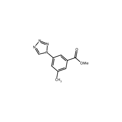 COC(=O)c1cc(C)cc(-n2cnnn2)c1